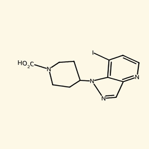 O=C(O)N1CCC(n2ncc3nccc(I)c32)CC1